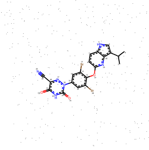 CC(C)c1c[nH]c2ccc(Oc3c(Br)cc(-n4nc(C#N)c(=O)[nH]c4=O)cc3Br)nc12